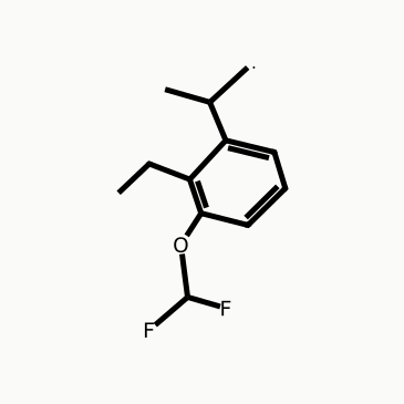 [CH2]C(C)c1cccc(OC(F)F)c1CC